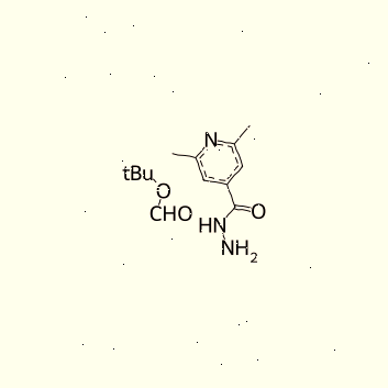 CC(C)(C)OC=O.Cc1cc(C(=O)NN)cc(C)n1